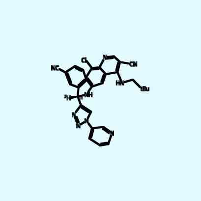 [2H][C@](Nc1cc(Cl)c2ncc(C#N)c(NCC(C)(C)C)c2c1)(c1cccc(C#N)c1)c1cn(-c2cccnc2)nn1